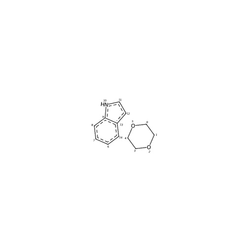 C1COCCO1.c1ccc2[nH]ccc2c1